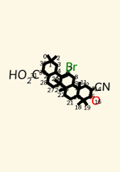 CC1(C)CC2C3=C(Br)CC4C5(C)CC(C#N)C(=O)C(C)(C)C5CCC4(C)C3(C)CCC2[C@H](C(=O)O)C1